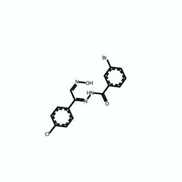 O=C(N/N=C(\C=N/O)c1ccc(Cl)cc1)c1cccc(Br)c1